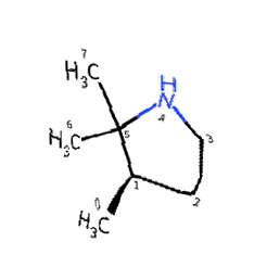 C[C@@H]1CCNC1(C)C